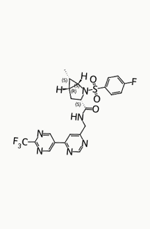 C[C@H]1[C@H]2C[C@@H](C(=O)NCc3cc(-c4cnc(C(F)(F)F)nc4)ncn3)N(S(=O)(=O)c3ccc(F)cc3)[C@@H]12